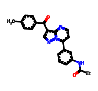 CCC(=O)Nc1cccc(-c2ccnc3c(C(=O)c4ccc(C)cc4)cnn23)c1